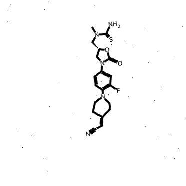 CN(C[C@@H]1CN(c2ccc(N3CCC(=CC#N)CC3)c(F)c2)C(=O)O1)C(N)=S